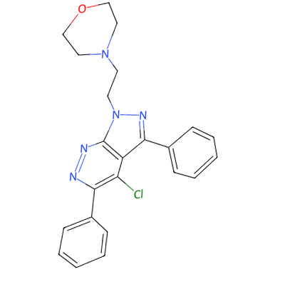 Clc1c(-c2ccccc2)nnc2c1c(-c1ccccc1)nn2CCN1CCOCC1